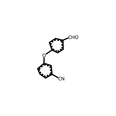 N#Cc1cccc(Oc2ccc(C=O)cc2)c1